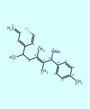 C=C/C=C(\C=C/F)C(C)C/C(C)=C(\C)C(NC)c1ccc(C)cc1